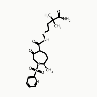 C[C@@H]1CC[C@H](C(=O)NO[CH]CC(C)(C)C(N)=O)C(=O)CN1S(=O)(=O)c1ccccn1